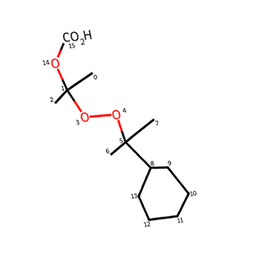 CC(C)(OOC(C)(C)C1CCCCC1)OC(=O)O